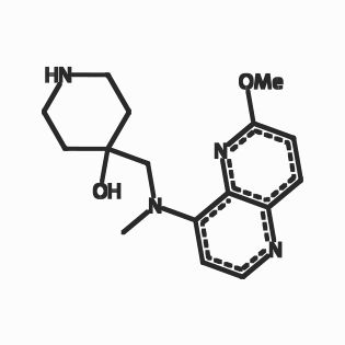 COc1ccc2nccc(N(C)CC3(O)CCNCC3)c2n1